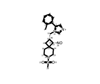 Cc1ccccc1-c1cncn1C[C@H]1CC2(CCN(S(C)(=O)=O)CC2)[C@H]1N=O